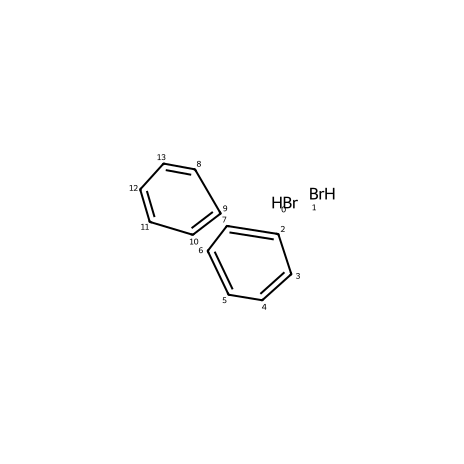 Br.Br.c1ccccc1.c1ccccc1